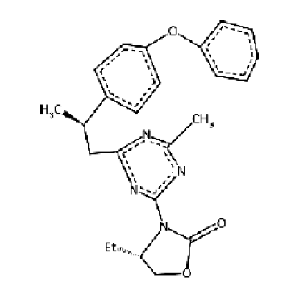 CC[C@H]1COC(=O)N1c1nc(C)nc(C[C@@H](C)c2ccc(Oc3ccccc3)cc2)n1